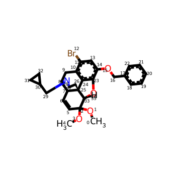 COC1(OC)C=CC2C3Cc4c(Br)cc(OCc5ccccc5)c5c4[C@]2(CCN3CC2CC2)[C@@H]1O5